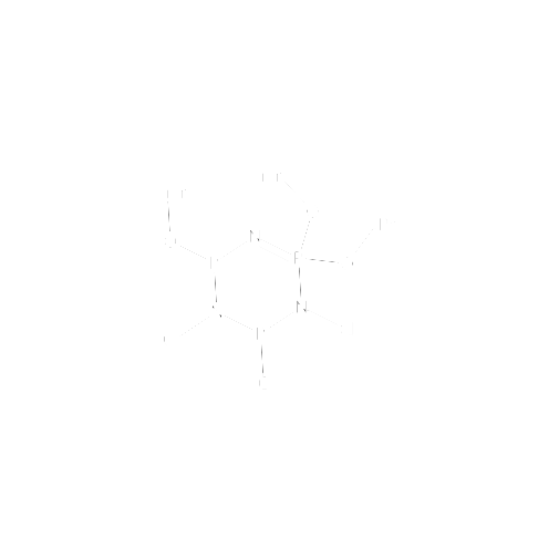 CC(C)OP1N=P(OC(C)C)(OC(C)C)N(Cl)P(Cl)N1Cl